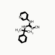 CC(C)(N/C(=N/C#N)Nc1cccnc1)c1ccccc1